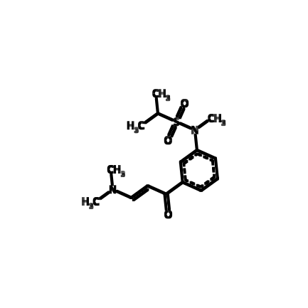 CC(C)S(=O)(=O)N(C)c1cccc(C(=O)/C=C/N(C)C)c1